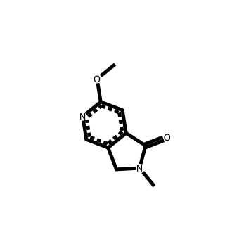 COc1cc2c(cn1)CN(C)C2=O